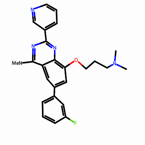 CNc1nc(-c2cccnc2)nc2c(OCCCN(C)C)cc(-c3cccc(F)c3)cc12